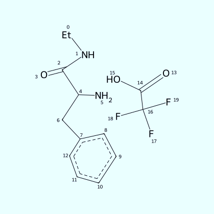 CCNC(=O)C(N)Cc1ccccc1.O=C(O)C(F)(F)F